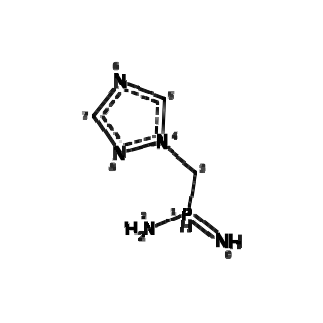 N=[PH](N)Cn1cncn1